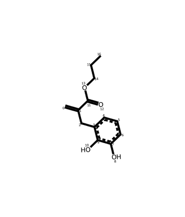 C=C(Cc1cccc(O)c1O)C(=O)OCCC